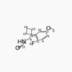 COc1ccc(F)c(C2(CNC=O)CCC2)c1